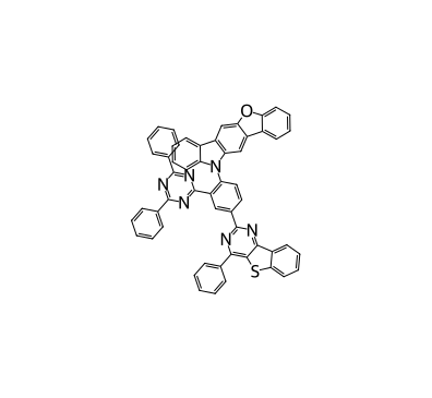 c1ccc(-c2nc(-c3ccccc3)nc(-c3cc(-c4nc(-c5ccccc5)c5sc6ccccc6c5n4)ccc3-n3c4ccccc4c4cc5oc6ccccc6c5cc43)n2)cc1